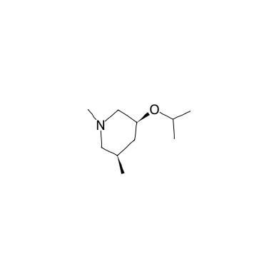 CC(C)O[C@H]1C[C@@H](C)CN(C)C1